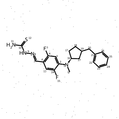 CN(c1cc(F)c(/C=N/NC(N)=S)cc1F)[C@H]1CCC(Cc2ccccc2)C1